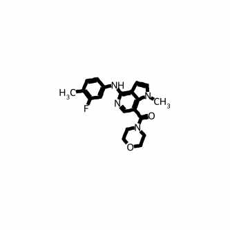 Cc1ccc(Nc2ncc(C(=O)N3CCOCC3)c3c2ccn3C)cc1F